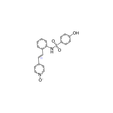 O=S(=O)(Nc1ccccc1/C=C/c1cc[n+]([O-])cc1)c1ccc(O)cc1